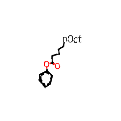 CCCCCCCCCCCCC(=O)Oc1ccccc1